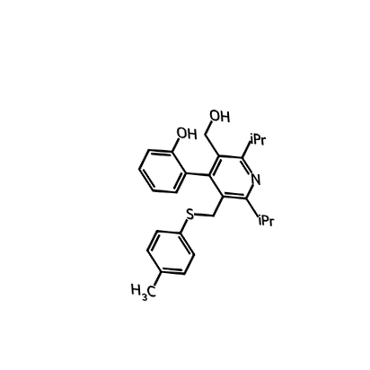 Cc1ccc(SCc2c(C(C)C)nc(C(C)C)c(CO)c2-c2ccccc2O)cc1